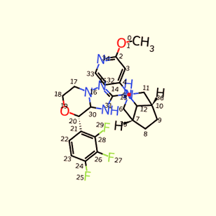 COc1cc(N2C[C@H]3CC[C@@H](C2)C3NC2=NN3CCO[C@@H](c4ccc(F)c(F)c4F)C3N2)ccn1